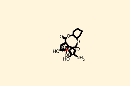 NC1=CC2(C(=O)OC3CCCCC3OC(=O)C3=CC(O)=C(O)C32O)C(O)=C1O